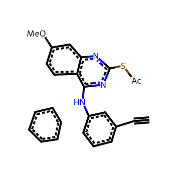 C#Cc1cccc(Nc2nc(SC(C)=O)nc3cc(OC)ccc23)c1.c1ccccc1